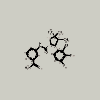 CCc1c([C@@H]2[C@H](C(=O)Nc3ccnc(C(N)=O)c3)O[C@@](C)(C(F)(F)F)[C@H]2C)ccc(F)c1F